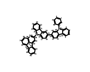 c1ccc(-n2c3ccccc3c3ccc(-c4ccc5c(c4)c4ccccc4n5-c4cc5c6c(cccc6n4)-c4ccccc4-5)cc32)cc1